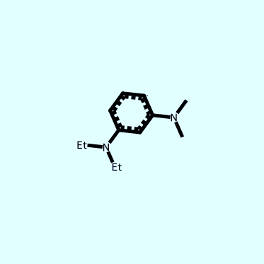 CCN(CC)c1cc[c]c(N(C)C)c1